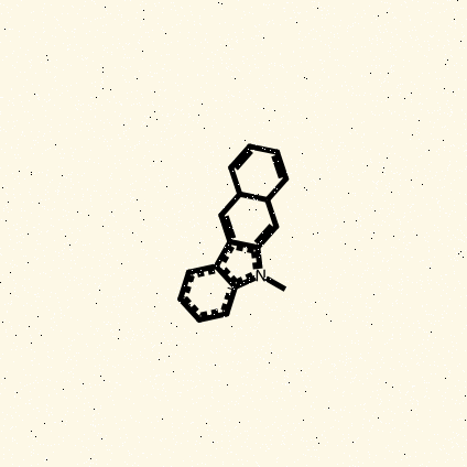 Cn1c2c(c3ccccc31)=CC1C=CC=CC1C=2